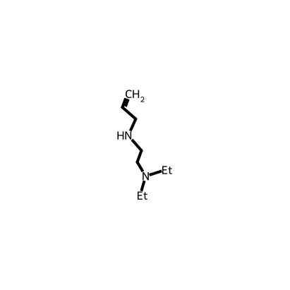 C=CCNCCN(CC)CC